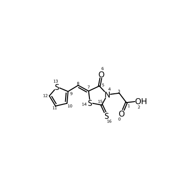 O=C(O)CN1C(=O)/C(=C/c2cccs2)SC1=S